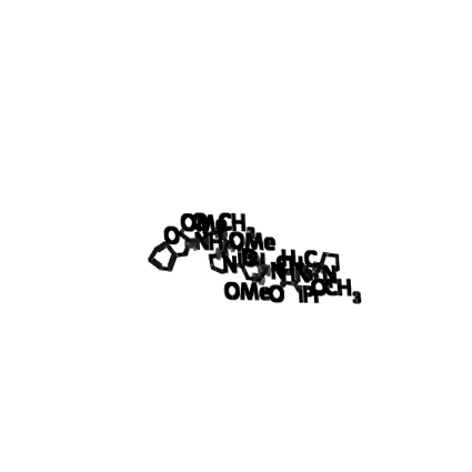 CC[C@H](C)[C@@H]([C@@H](CC(=O)N1CCC[C@H]1[C@H](OC)[C@@H](C)C(=O)N[C@@H](Cc1ccccc1)C(=O)OC)OC)N(C)C(=O)C(NC(=O)[C@]1(C)CCCN1C)C(C)C